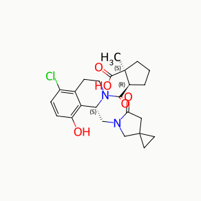 C[C@]1(C(=O)O)CCC[C@H]1C(=O)N1CCc2c(Cl)ccc(O)c2[C@H]1CN1CC2(CC2)CC1=O